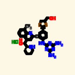 Cl.Nc1nc(N)nc(Nc2ccc([As]3SCC(CO)S3)cc2)n1.O[C@@H](c1cc(C(F)(F)F)nc2c(C(F)(F)F)cccc12)[C@H]1CCCCN1